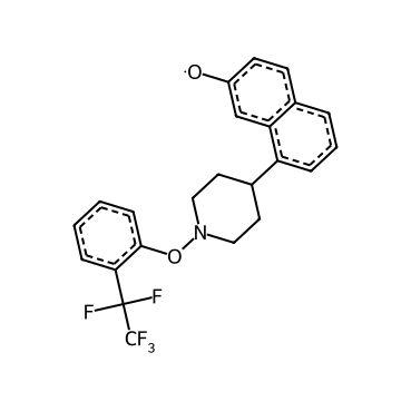 [O]c1ccc2cccc(C3CCN(Oc4ccccc4C(F)(F)C(F)(F)F)CC3)c2c1